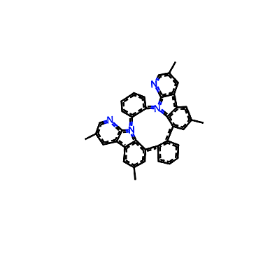 Cc1cnc2c(c1)c1cc(C)cc3c4ccccc4c4cc(C)cc5c6cc(C)cnc6n(c6ccccc6n2c31)c45